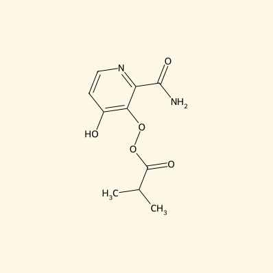 CC(C)C(=O)OOc1c(O)ccnc1C(N)=O